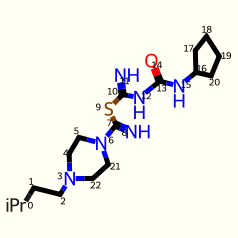 CC(C)CCN1CCN(C(=N)SC(=N)NC(=O)NC2CCCC2)CC1